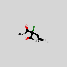 C=CCC(F)(C(=O)OCC(C)C)C(=O)OCC(C)C